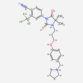 CC1(C)C(=O)N(c2ccc(C#N)c(C(F)(F)F)c2)C(=S)N1CCCOc1ccc(CN2CCCC2)cc1